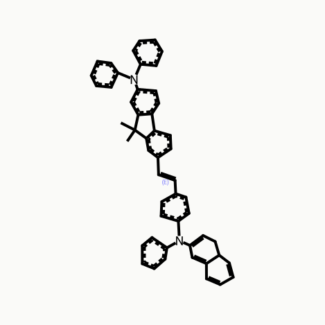 CC1(C)c2cc(/C=C/c3ccc(N(C4=CCC5C=CC=CC5=C4)c4ccccc4)cc3)ccc2-c2ccc(N(c3ccccc3)c3ccccc3)cc21